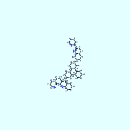 c1ccc(-c2ccc3ccc(-c4ccc5c6ccc(-c7c8ccccc8nc8c7ccc7cccnc78)cc6c6ccccc6c5c4)cc3n2)nc1